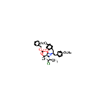 C=C(CCl)[C@@H]1[C@@H]([C@@H](C)OC(=O)OCc2ccccc2)C(=O)N1C(Cc1ccc(OC)cc1)Cc1ccc(OC)cc1